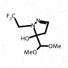 COC(OC)C1(O)CC=NN1CC(F)(F)F